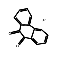 O=C1C(=O)c2ccccc2-c2ccccc21.[Ar]